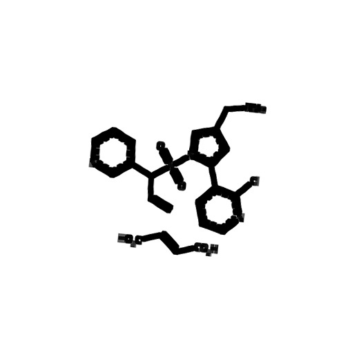 C=CC(c1cccnc1)S(=O)(=O)n1cc(CNC)cc1-c1cccnc1Cl.O=C(O)/C=C/C(=O)O